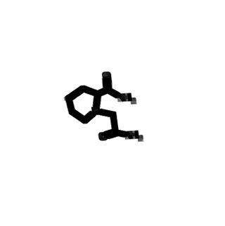 NC(=O)CN1CC[CH]CC1C(N)=O